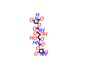 O=C1CC(OC(=O)NC(=O)C(O)C(O)C(=O)NC(=O)OC2CC(=O)NC2=O)C(=O)N1